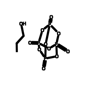 CCCO.O=P12OP3(=O)OP(=O)(O1)OP(=O)(O2)O3